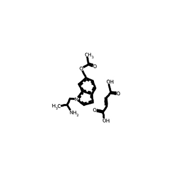 CC(=O)Oc1ccc2ccn(CC(C)N)c2c1.O=C(O)C=CC(=O)O